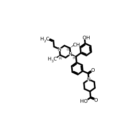 C=CCN1C[C@H](C)N([C@@H](c2cccc(O)c2)c2cccc(C(=O)N3CCC(C(=O)O)CC3)c2)C[C@H]1C